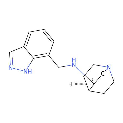 c1cc(CN[C@H]2CN3CCC2CC3)c2[nH]ncc2c1